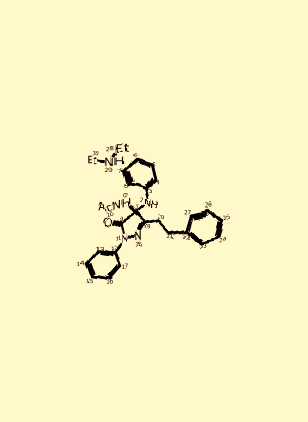 CC(=O)NC1(Nc2ccccc2)C(=O)N(c2ccccc2)N=C1CCc1ccccc1.CCNCC